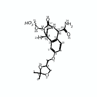 CC1(C)OCC(COc2ccc3c(c2)[C@H]2CN(C(=O)N2OS(=O)(=O)O)[C@H]3C(N)=O)O1